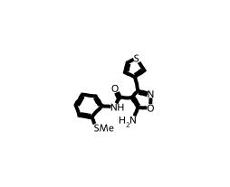 CSc1ccccc1NC(=O)c1c(-c2ccsc2)noc1N